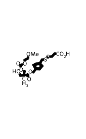 COCCOC(=O)OCC(C)(CO)C(=O)OCc1ccc(CSSCCC(=O)O)cc1